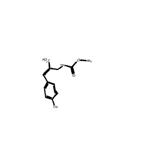 CC(C)(C)OC(=O)NC/C(=C\c1ccc(C#N)cc1)C(=O)O